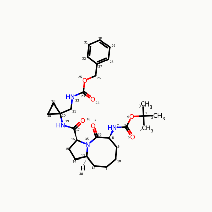 CC(C)(C)OC(=O)N[C@H]1CCCC[C@H]2CC[C@@H](C(=O)NC3(CNC(=O)OCc4ccccc4)CC3)N2C1=O